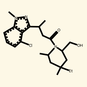 CCC1(C)CC(C)N(C(=O)CC(C)c2nn(C)c3cccc(Cl)c23)C(CO)C1